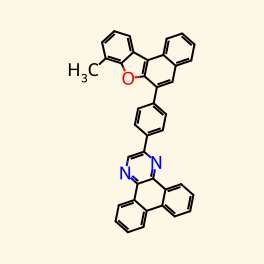 Cc1cccc2c1oc1c(-c3ccc(-c4cnc5c6ccccc6c6ccccc6c5n4)cc3)cc3ccccc3c12